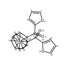 O=C(c1ccco1)[C]12[CH]3[CH]4[CH]5[CH]1[Fe]45321678[CH]2[CH]1[CH]6[C]7(C(=O)c1ccco1)[CH]28